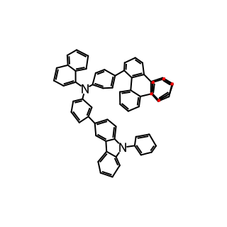 c1ccc(-c2ccccc2-c2c(-c3ccccc3)cccc2-c2ccc(N(c3cccc(-c4ccc5c(c4)c4ccccc4n5-c4ccccc4)c3)c3cccc4ccccc34)cc2)cc1